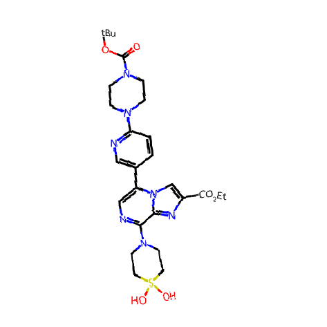 CCOC(=O)c1cn2c(-c3ccc(N4CCN(C(=O)OC(C)(C)C)CC4)nc3)cnc(N3CCS(O)(O)CC3)c2n1